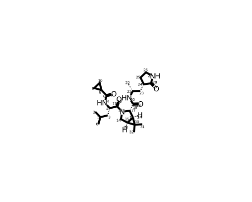 CC(C)C[C@H](NC(=O)C1CC1)C(=O)N1C[C@H]2[C@@H]([C@H]1C(=O)N[C@H](C)C[C@@H]1CCNC1=O)C2(C)C